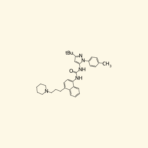 Cc1ccc(-n2nc(C(C)(C)C)cc2NC(=O)Nc2ccc(CCCN3CCCCC3)c3ccccc23)cc1